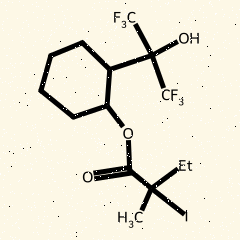 CCC(C)(I)C(=O)OC1CCCCC1C(O)(C(F)(F)F)C(F)(F)F